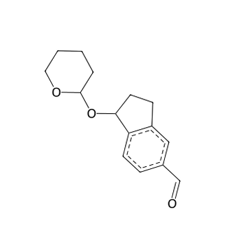 O=Cc1ccc2c(c1)CCC2OC1CCCCO1